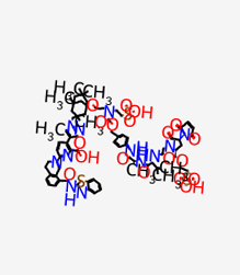 Cc1c(-c2ccc(N3CCc4cccc(C(=O)Nc5nc6ccccc6s5)c4C3)nc2C(=O)O)cnn1CC1(C)CC2(C)CC(C)(C)CC(OCCN(CCS(=O)(=O)O)C(=O)OCc3ccc(NC(=O)[C@H](C)NC(=O)C(NC(=O)CN4C(=O)[C@@H](N5C(=O)C=CC5=O)C[C@H]4COCCS(=O)(=O)O)C(C)C)cc3)(C1)C2